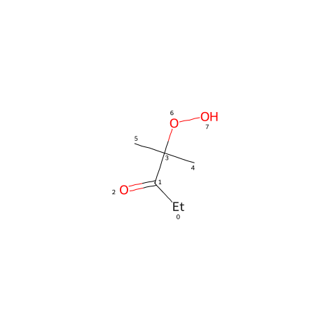 CCC(=O)C(C)(C)OO